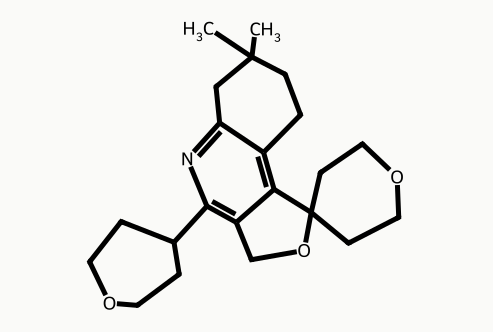 CC1(C)CCc2c(nc(C3CCOCC3)c3c2C2(CCOCC2)OC3)C1